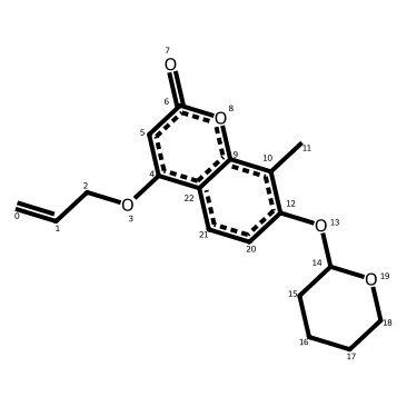 C=CCOc1cc(=O)oc2c(C)c(OC3CCCCO3)ccc12